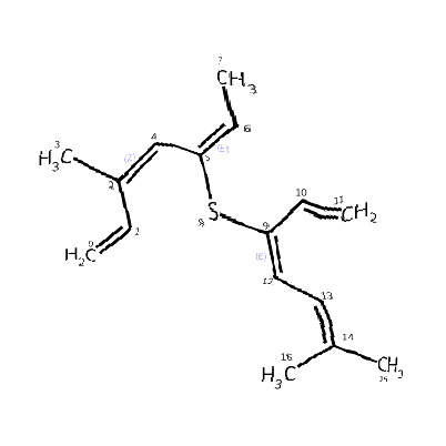 C=C/C(C)=C\C(=C/C)S/C(C=C)=C/C=C(C)C